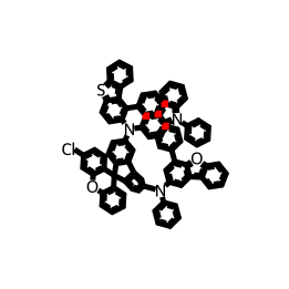 Clc1ccc2c(c1)Oc1ccccc1C21c2ccc(N(c3ccccc3)c3cc(-c4ccccc4)c4oc5ccccc5c4c3)cc2-c2cc(N(c3ccc4c(c3)c3ccccc3n4-c3ccccc3)c3ccc4sc5ccccc5c4c3-c3ccccc3)ccc21